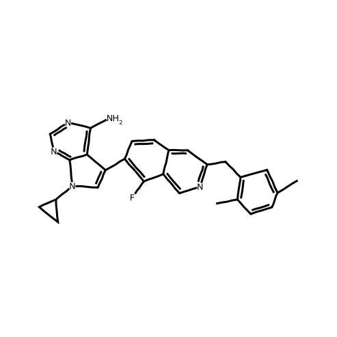 Cc1ccc(C)c(Cc2cc3ccc(-c4cn(C5CC5)c5ncnc(N)c45)c(F)c3cn2)c1